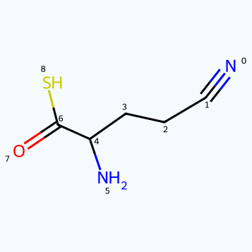 N#CCCC(N)C(=O)S